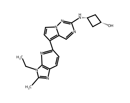 CCn1c(C)nc2ccc(-c3ccn4nc(N[C@H]5C[C@@H](O)C5)ncc34)nc21